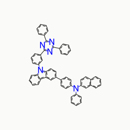 c1ccc(-c2nc(-c3ccccc3)nc(-c3cccc(-n4c5ccccc5c5cc(-c6ccc(N(c7ccccc7)c7ccc8ccccc8c7)cc6)ccc54)c3)n2)cc1